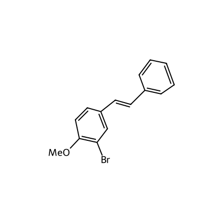 COc1ccc(C=Cc2ccccc2)cc1Br